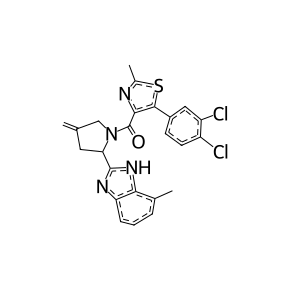 C=C1CC(c2nc3cccc(C)c3[nH]2)N(C(=O)c2nc(C)sc2-c2ccc(Cl)c(Cl)c2)C1